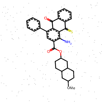 COC1CCC2CC(OC(=O)c3cc(-c4ccccc4)c4c(c3N)C(=S)c3ccccc3C4=O)CCC2C1